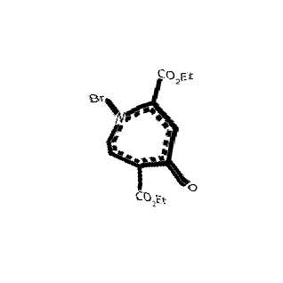 CCOC(=O)c1cn(Br)c(C(=O)OCC)cc1=O